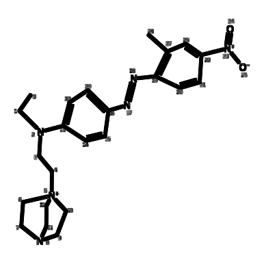 CCN(CC[N+]12CCN(CC1)CC2)c1ccc(/N=N/c2ccc([N+](=O)[O-])cc2C)cc1